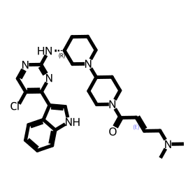 CN(C)C/C=C/C(=O)N1CCC(N2CCC[C@@H](Nc3ncc(Cl)c(-c4c[nH]c5ccccc45)n3)C2)CC1